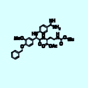 COc1cc([C@@H](Nc2ccc(C(=N)N)cc2)C(=O)N[C@@H](CCNC(=O)OC(C)(C)C)C(=O)OC(C)=O)ccc1OCc1ccccc1